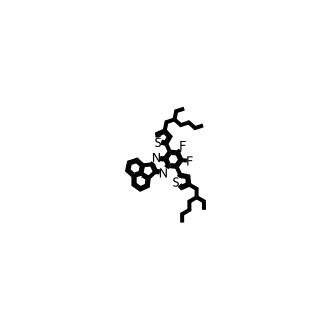 CCCCC(CC)Cc1csc(-c2c(F)c(F)c(-c3cc(CC(CC)CCCC)cs3)c3nc4c(nc23)-c2cccc3cccc-4c23)c1